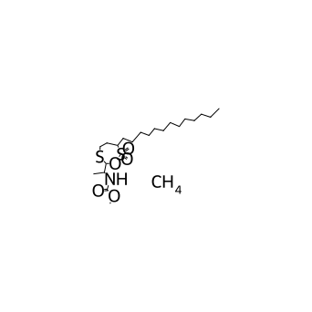 C.CCCCCCCCCCCCCC1CCSC(C(C)NC(=O)OC)OS1(=O)=O